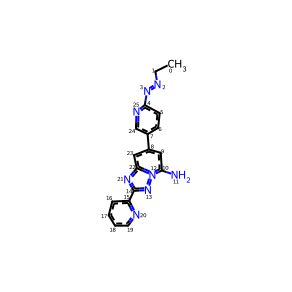 CCN=Nc1ccc(-c2cc(N)n3nc(-c4ccccn4)nc3c2)cn1